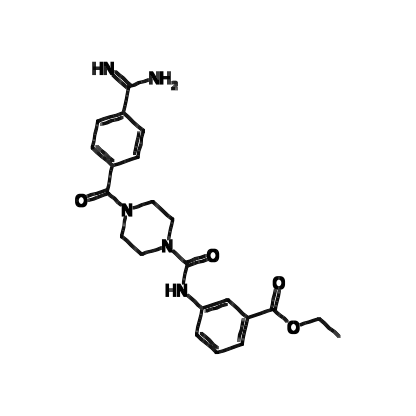 CCOC(=O)c1cccc(NC(=O)N2CCN(C(=O)c3ccc(C(=N)N)cc3)CC2)c1